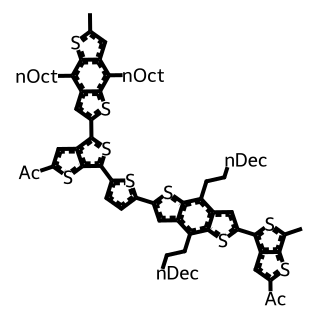 CCCCCCCCCCCCc1c2cc(-c3sc(C)c4sc(C(C)=O)cc34)sc2c(CCCCCCCCCCCC)c2cc(-c3ccc(-c4sc(-c5cc6c(CCCCCCCC)c7sc(C)cc7c(CCCCCCCC)c6s5)c5cc(C(C)=O)sc45)s3)sc12